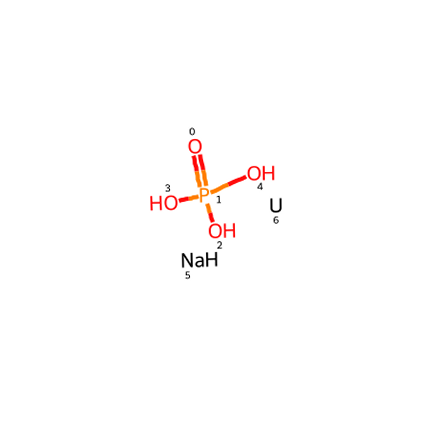 O=P(O)(O)O.[NaH].[U]